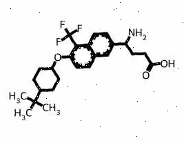 CC(C)(C)C1CCC(Oc2ccc3cc(C(N)CCC(=O)O)ccc3c2C(F)(F)F)CC1